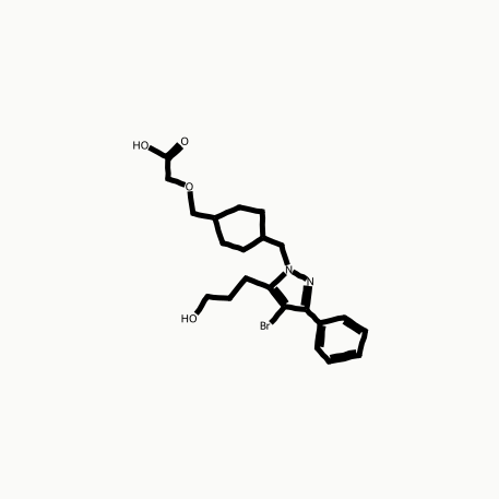 O=C(O)COCC1CCC(Cn2nc(-c3ccccc3)c(Br)c2CCCO)CC1